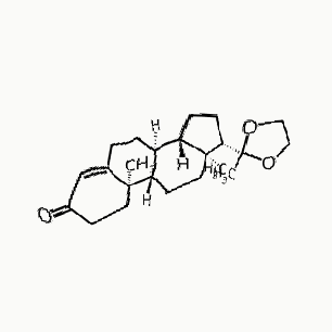 CC1([C@H]2CC[C@H]3[C@@H]4CCC5=CC(=O)CC[C@]5(C)[C@H]4CC[C@]23C)OCCO1